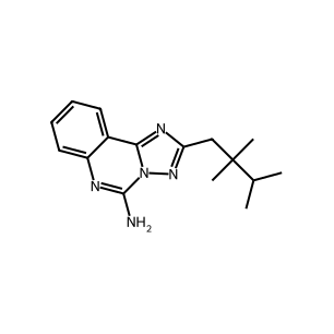 CC(C)C(C)(C)Cc1nc2c3ccccc3nc(N)n2n1